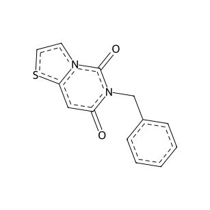 O=c1cc2sccn2c(=O)n1Cc1ccccc1